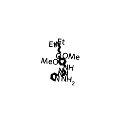 CCN(CC)CCCOc1c(OC)cc(Nc2nc(N)n(-c3ccccn3)n2)cc1OC